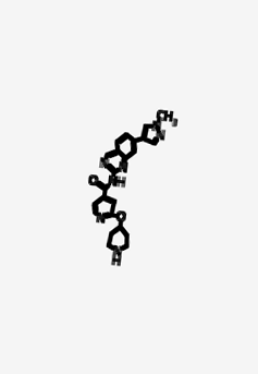 Cn1cc(-c2ccc3cnc(NC(=O)c4ccnc(OC5CCNCC5)c4)nc3c2)cn1